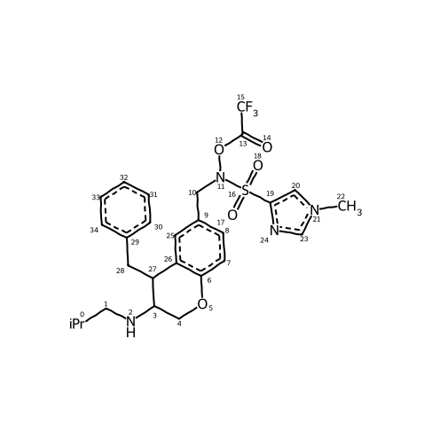 CC(C)CNC1COc2ccc(CN(OC(=O)C(F)(F)F)S(=O)(=O)c3cn(C)cn3)cc2C1Cc1ccccc1